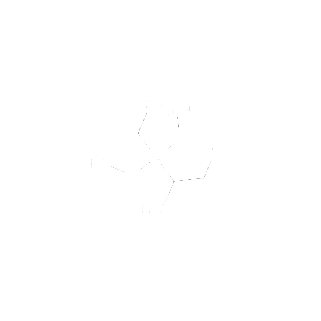 CCC(C)[Si](CC)(OC)OC